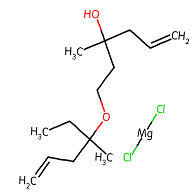 C=CCC(C)(O)CCOC(C)(CC)CC=C.[Cl][Mg][Cl]